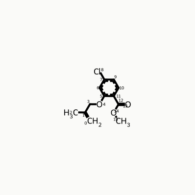 C=C(C)COc1cc(Cl)ccc1C(=O)OC